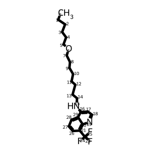 CCCCCCOCCCCCCCCNc1ccnc2c(C(F)(F)F)cccc12